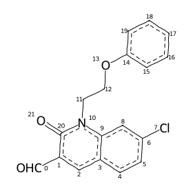 O=Cc1cc2ccc(Cl)cc2n(CCOc2ccccc2)c1=O